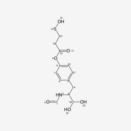 O=CNC(Cc1ccc(OC(=O)CCSO)cc1)C(O)O